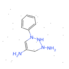 NC1=CN(c2ccccc2)NN(N)C1